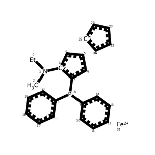 CCN(C)[c-]1cccc1P(c1ccccc1)c1ccccc1.[Fe+2].c1cc[cH-]c1